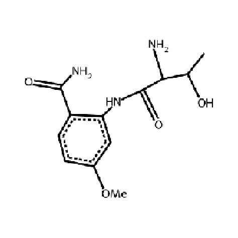 COc1ccc(C(N)=O)c(NC(=O)C(N)C(C)O)c1